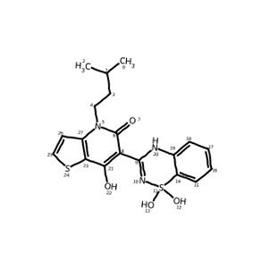 CC(C)CCn1c(=O)c(C2=NS(O)(O)c3ccccc3N2)c(O)c2sccc21